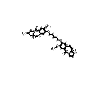 C=C1C[C@H]2C=Nc3cc(OCCCCCOc4cc5c(cc4OC)C(=O)N4CCC[C@H]4C=C5)c(C)cc3C(=O)N2C1